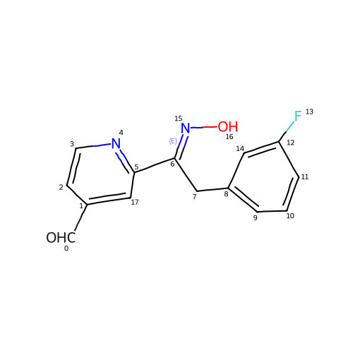 O=Cc1ccnc(/C(Cc2cccc(F)c2)=N/O)c1